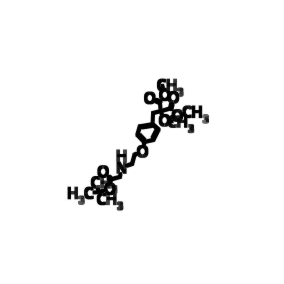 COC(=O)C(Cc1ccc(OCCNCC(=O)OC(C)(C)C)cc1)(OC)C(=O)OC